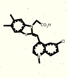 Cc1cc2c(cc1C)N(CC(=O)O)/C(=C/c1cc[n+](C)c3ccc(Cl)cc13)S2